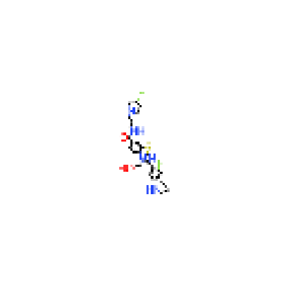 O=C(NCCCN1CCC(F)CC1)c1ccc2c(c1)sc1nc(-c3ccc([C@@H]4CCCN4)cc3F)c(CCO)n12